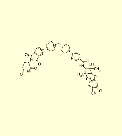 CC1(C)C(NC(=O)c2ccc(N3CCC(CN4CCN(c5ccc6c(c5)C(=O)N(N5CCC(=O)NC5=O)C6=O)CC4)CC3)nc2)C(C)(C)C1Oc1ccc(C#N)c(Cl)c1